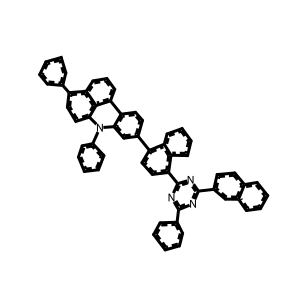 c1ccc(-c2nc(-c3ccc4ccccc4c3)nc(-c3ccc(-c4ccc5c(c4)N(c4ccccc4)c4ccc(-c6ccccc6)c6cccc-5c46)c4ccccc34)n2)cc1